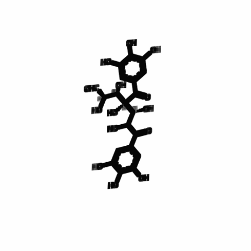 O=C[C@H](O)[C@@H](O)[C@@](O)(C(=O)c1cc(O)c(O)c(O)c1)[C@H](O)C(O)C(=O)c1cc(O)c(O)c(O)c1